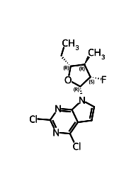 CC[C@H]1O[C@@H](n2ccc3c(Cl)nc(Cl)nc32)[C@@H](F)[C@@H]1C